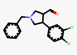 O=CC1CN(Cc2ccccc2)CC1c1ccc(Cl)c(Cl)c1